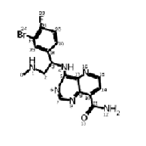 CNCC(Nc1ncnc2c(C(N)=O)ccnc12)c1ccc(F)c(Br)c1